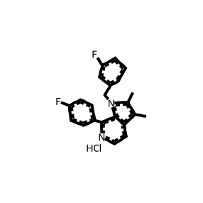 Cc1c(C)n(Cc2cccc(F)c2)c2c(-c3ccc(F)cc3)nccc12.Cl